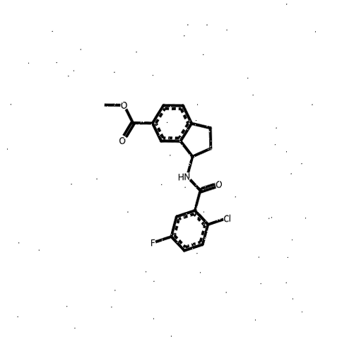 COC(=O)c1ccc2c(c1)C(NC(=O)c1cc(F)ccc1Cl)CC2